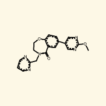 COc1ncc(-c2ccc3c(c2)C(=O)N(Cc2ncccn2)CCO3)cn1